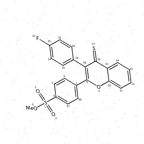 COS(=O)(=O)c1ccc(-c2oc3ccccc3c(=S)c2-c2ccc(F)cc2)cc1